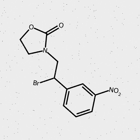 O=C1OCCN1CC(Br)c1cccc([N+](=O)[O-])c1